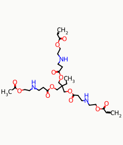 C=CC(=O)OCCNCCC(=O)OCC(CC)(COC(=O)CCNCCOC(C)=O)COC(=O)CCNCCOC(=O)C=C